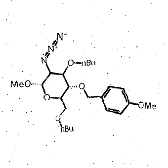 CCCCOCC1O[C@H](OC)C(N=[N+]=[N-])C(OCCCC)[C@@H]1OCc1ccc(OC)cc1